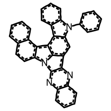 c1ccc(-n2c3ccccc3c3c4c5c6ccccc6ccc5n5c6nc7ccccc7nc6c(cc32)c45)cc1